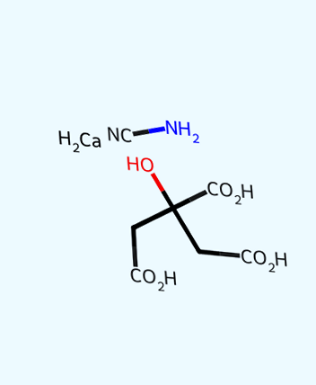 N#CN.O=C(O)CC(O)(CC(=O)O)C(=O)O.[CaH2]